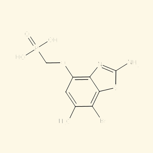 Cc1cc(OCP(=O)(O)O)c2nc(N)sc2c1Br